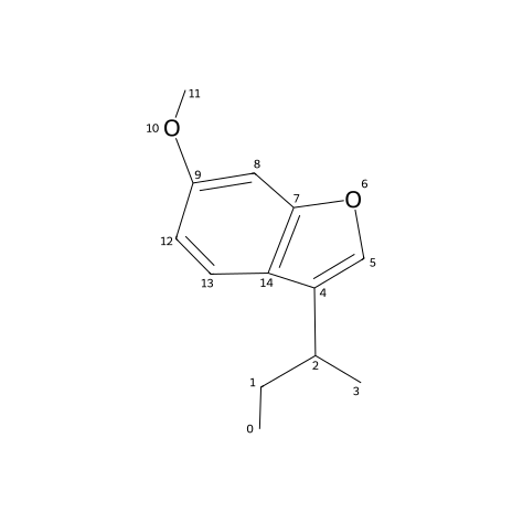 CCC(C)c1coc2cc(OC)ccc12